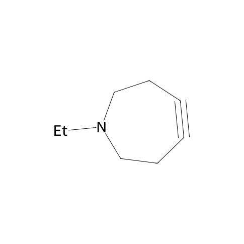 CCN1CCC#CCC1